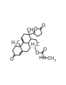 CCC1C2C(=CC[C@]1(C)C1CCC(=O)O1)[C@@]1(C)CCC(=O)C=C1C[C@H]2COC(=O)NC